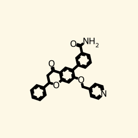 NC(=O)c1cccc(-c2cc3c(cc2OCc2ccncc2)OC(c2ccccc2)CC3=O)c1